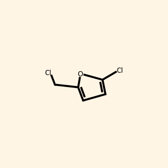 ClCc1ccc(Cl)o1